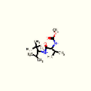 COC(=O)NC(C(=O)NC(C(C)C)C(C)(C)C)C(C)C